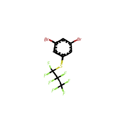 FC(F)(F)C(F)(F)C(F)(F)Sc1[c]c(Br)cc(Br)c1